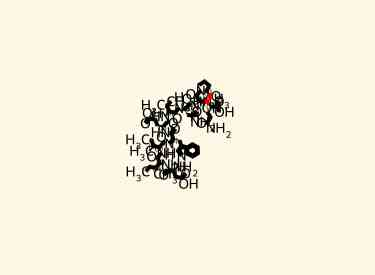 CC[C@H](C)[C@H](NC(=O)[C@@H](NC(=O)[C@@H](N)CC(=O)O)[C@@H](C)CC)C(=O)N[C@@H](Cc1c[nH]c2ccccc12)C(=O)N[C@@H](CCC(=O)O)C(=O)N[C@H](C(=O)N[C@@H](CC(N)=O)C(=O)N[C@H](C(=O)N1CCC[C@H]1C(=O)N[C@@H](CCC(N)=O)C(=O)O)[C@@H](C)O)C(C)C